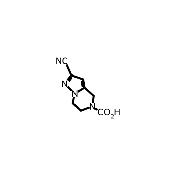 N#Cc1cc2n(n1)CCN(C(=O)O)C2